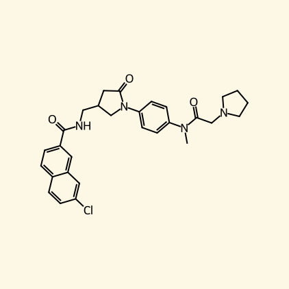 CN(C(=O)CN1CCCC1)c1ccc(N2CC(CNC(=O)c3ccc4ccc(Cl)cc4c3)CC2=O)cc1